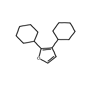 c1cc(C2CCCCC2)c(C2CCCCC2)o1